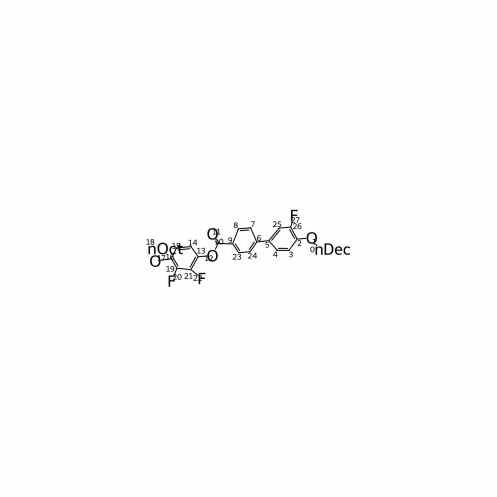 CCCCCCCCCCOc1ccc(-c2ccc(C(=O)Oc3ccc(OCCCCCCCC)c(F)c3F)cc2)cc1F